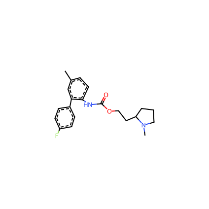 Cc1ccc(NC(=O)OCCC2CCCN2C)c(-c2ccc(F)cc2)c1